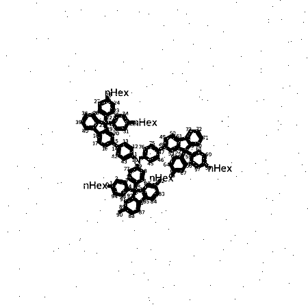 CCCCCCc1ccc(C2(c3ccc(N(c4ccc(-c5ccc6c(c5)C(c5ccc(CCCCCC)cc5)(c5ccc(CCCCCC)cc5)c5ccccc5-6)cc4)c4ccc(-c5ccc6c(c5)C(c5ccc(CCCCCC)cc5)(c5ccc(CCCCCC)cc5)c5ccccc5-6)cc4)cc3)c3cc(C)ccc3-c3ccc(C)cc32)cc1